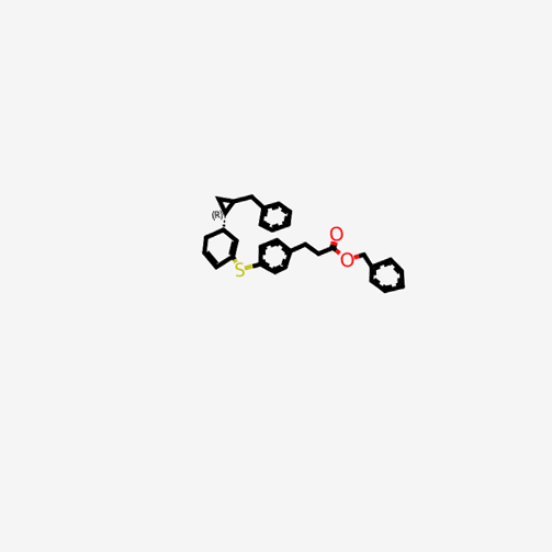 O=C(CCc1ccc(SC2=CC([C@@H]3CC3Cc3ccccc3)CC=C2)cc1)OCc1ccccc1